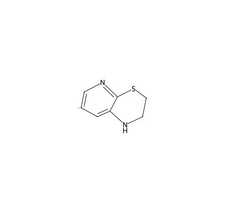 [c]1cnc2c(c1)NCCS2